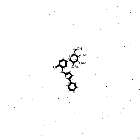 CC(=O)O[C@@H]1[C@@H](OC(C)=O)[C@H](c2ccc(Cl)c(Cc3ccc(-c4ccccc4)s3)c2)O[C@H](CO)[C@H]1OC(C)=O